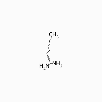 CCCCCCCC#CC(N)N